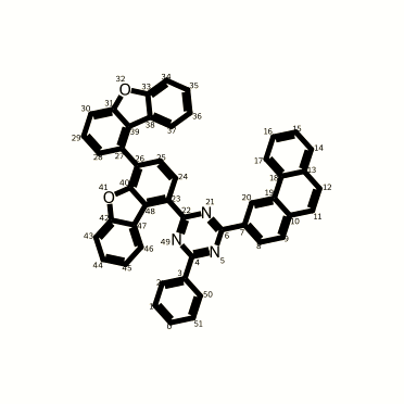 c1ccc(-c2nc(-c3ccc4ccc5ccccc5c4c3)nc(-c3ccc(-c4cccc5oc6ccccc6c45)c4oc5ccccc5c34)n2)cc1